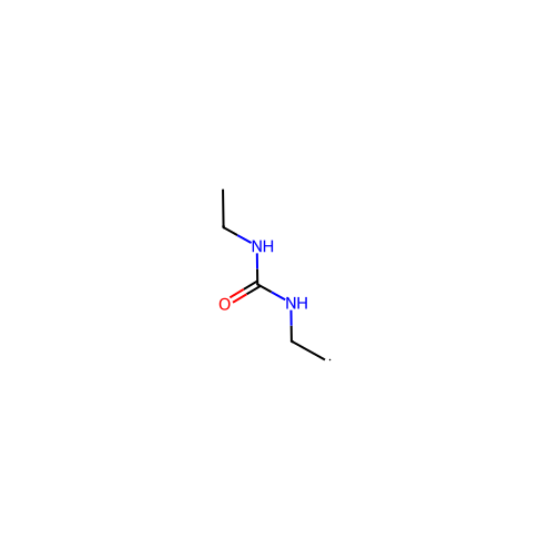 [CH2]CNC(=O)NCC